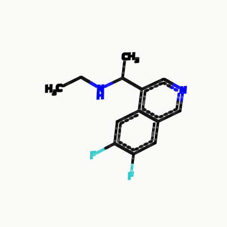 CCNC(C)c1cncc2cc(F)c(F)cc12